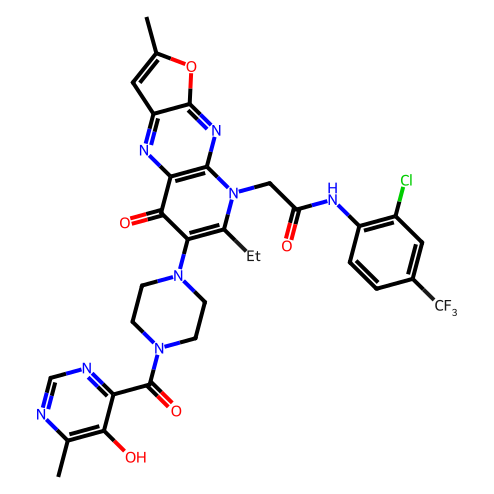 CCc1c(N2CCN(C(=O)c3ncnc(C)c3O)CC2)c(=O)c2nc3cc(C)oc3nc2n1CC(=O)Nc1ccc(C(F)(F)F)cc1Cl